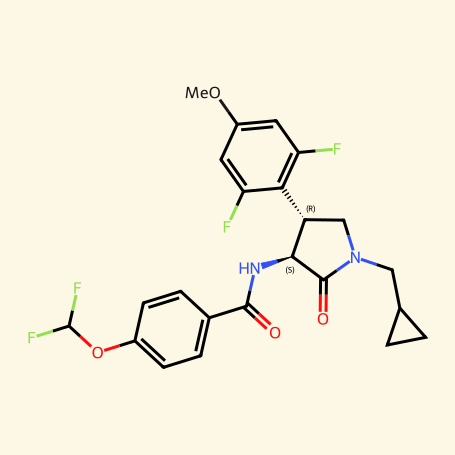 COc1cc(F)c([C@@H]2CN(CC3CC3)C(=O)[C@H]2NC(=O)c2ccc(OC(F)F)cc2)c(F)c1